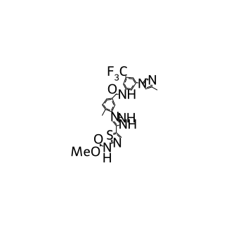 COC(=O)Nc1ncc(C2=CN(c3cc(C(=O)Nc4cc(-n5cnc(C)c5)cc(C(F)(F)F)c4)ccc3C)NN2)s1